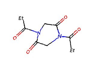 CCC(=O)N1CC(=O)N(C(=O)CC)CC1=O